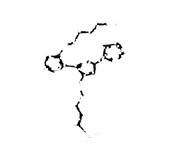 CCCCCCCCCCCCCCOc1ccsc1-c1sc(-c2cccs2)cc1OCCCCCCCCCCCCCC